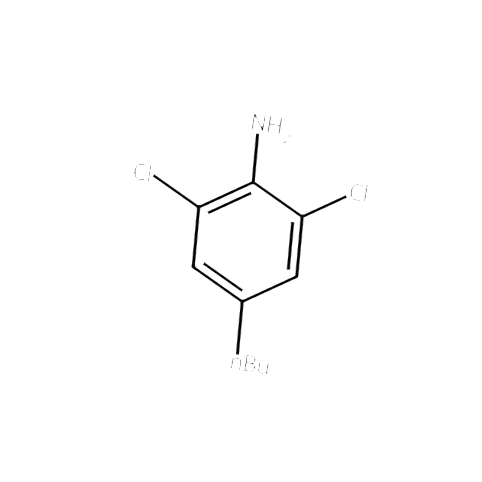 CCCCc1cc(Cl)c(N)c(Cl)c1